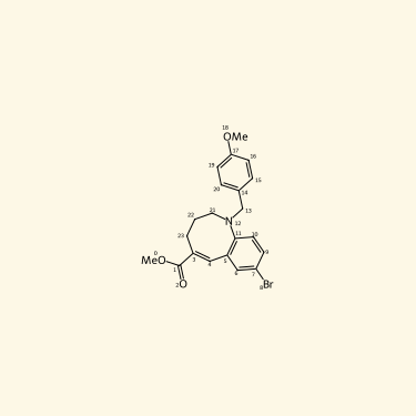 COC(=O)C1=Cc2cc(Br)ccc2N(Cc2ccc(OC)cc2)CCC1